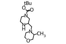 CC1COCCN1CC1CN(C(=O)OC(C)(C)C)CCN1